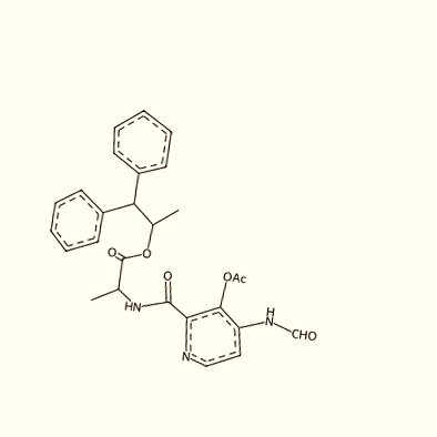 CC(=O)Oc1c(NC=O)ccnc1C(=O)NC(C)C(=O)OC(C)C(c1ccccc1)c1ccccc1